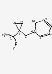 FC(F)C1(CN2C=CC=NC2)CC1